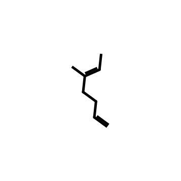 C=CCCC(C)=CC